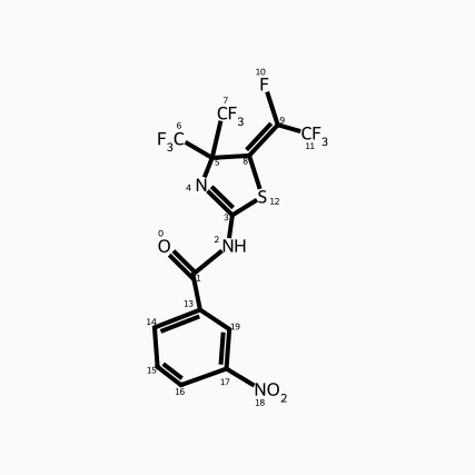 O=C(NC1=NC(C(F)(F)F)(C(F)(F)F)C(=C(F)C(F)(F)F)S1)c1cccc([N+](=O)[O-])c1